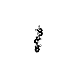 O=C1NCCc2ccc(N3Cc4ccc(N5Cc6ccccc6C5=O)nc4C3=O)nc21